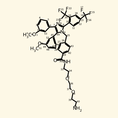 COc1cccc(-c2nc(-c3ccc(C(F)(F)F)cc3C(F)(F)F)n(Cc3ccc(C(=O)NCCOCCOCCN)cc3)c2-c2cccc(OC)c2)c1